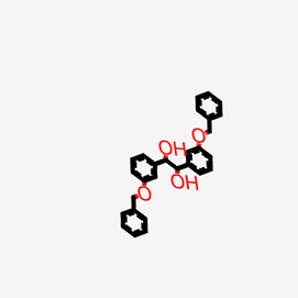 OC(c1cccc(OCc2ccccc2)c1)C(O)c1cccc(OCc2ccccc2)c1